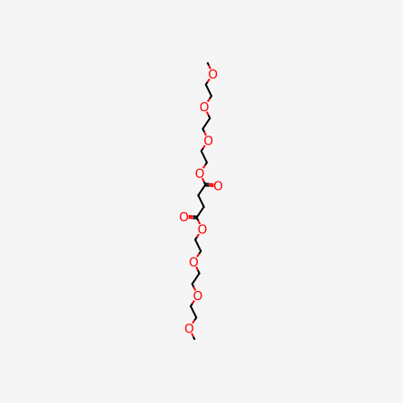 COCCOCCOCCOC(=O)CCC(=O)OCCOCCOCCOC